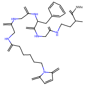 C=C(CCCCCn1c(=C)ccc1=C)NCC(=C)NCC(=C)NC(Cc1ccccc1)C(=C)NCC(=C)NCCC(C)C(=C)NC